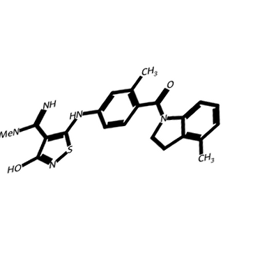 CNC(=N)c1c(O)nsc1Nc1ccc(C(=O)N2CCc3c(C)cccc32)c(C)c1